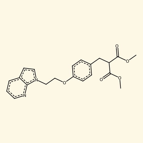 COC(=O)C(Cc1ccc(OCCn2ccc3cccnc32)cc1)C(=O)OC